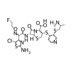 CC(N)CSc1cnccc1SC1=C(C(=O)O)N2C(=O)[C@@H](NC(=O)/C(=N\OCCF)c3nc(N)sc3Cl)[C@@H]2SC1